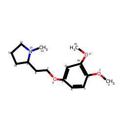 COc1ccc(OCCC2CCCN2C)cc1OC